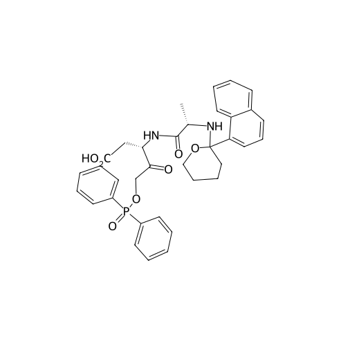 C[C@H](NC1(c2cccc3ccccc23)CCCCO1)C(=O)N[C@@H](CC(=O)O)C(=O)COP(=O)(c1ccccc1)c1ccccc1